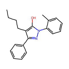 CCCCc1c(-c2ccccc2)nn(-c2ccccc2C)c1O